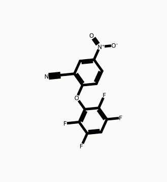 N#Cc1cc([N+](=O)[O-])ccc1Oc1c(F)c(F)cc(F)c1F